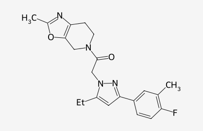 CCc1cc(-c2ccc(F)c(C)c2)nn1CC(=O)N1CCc2nc(C)oc2C1